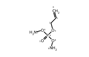 C=CCOP(=O)(ON)ON